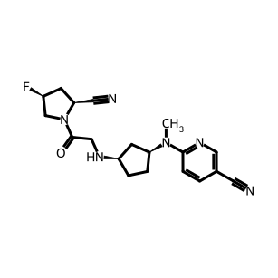 CN(c1ccc(C#N)cn1)[C@H]1CC[C@@H](NCC(=O)N2C[C@@H](F)C[C@H]2C#N)C1